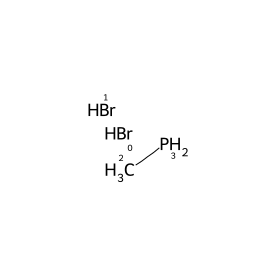 Br.Br.CP